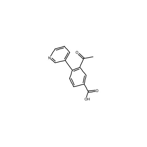 CC(=O)c1cc(C(=O)O)ccc1-c1cccnc1